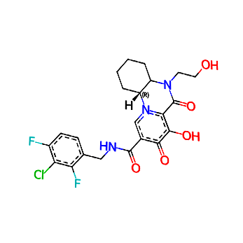 O=C(NCc1ccc(F)c(Cl)c1F)c1cn2c(c(O)c1=O)C(=O)N(CCO)C1CCCC[C@H]12